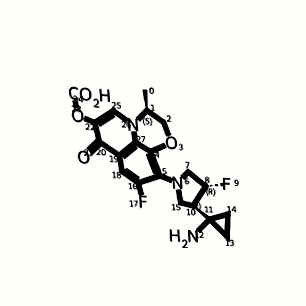 C[C@H]1COc2c(N3C[C@H](F)[C@@H](C4(N)CC4)C3)c(F)cc3c(=O)c(OC(=O)O)cn1c23